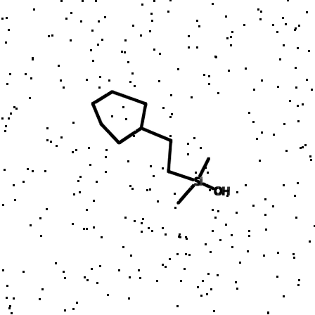 C[Si](C)(O)CCC1CCCCC1